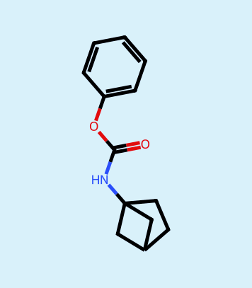 O=C(NC12CCC(C1)C2)Oc1ccccc1